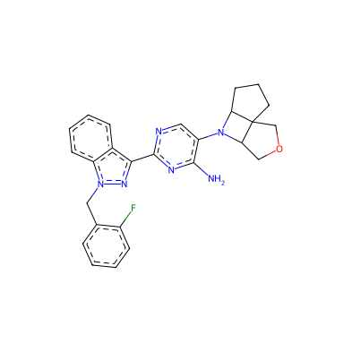 Nc1nc(-c2nn(Cc3ccccc3F)c3ccccc23)ncc1N1C2CCCC23COCC13